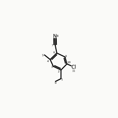 CCc1cc(C)c(C#N)cc1Cl